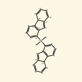 C[Si](C)(c1cccc2c1C=C1C=CC=CC12)c1cccc2c1C=C1C=CC=CC12